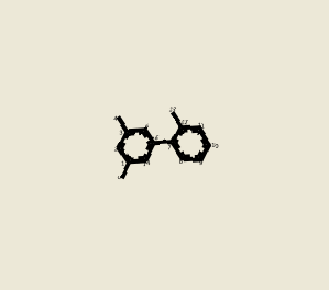 Cc1cc(C)cc(-c2ccccc2C)c1